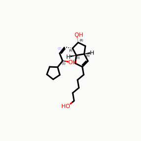 OCCCCCC1=C[C@H]2C[C@@H](O)[C@@H](/C=C\[C@@H](O)C3CCCC3)[C@H]2C1